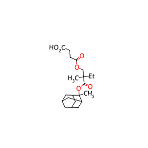 CCC(C)(COC(=O)CCC(=O)O)C(=O)OC1(C)C2CC3CC(C2)CC1C3